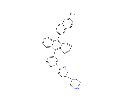 Cc1ccc2cc(-c3c4ccccc4c(-c4cccc(C5=CCC(c6ccncc6)C=N5)c4)c4ccccc34)ccc2c1